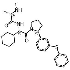 CN[C@@H](C)C(=O)N[C@H](C(=O)N1CCC[C@H]1c1cccc(Sc2ccccc2)c1)C1CCCCC1